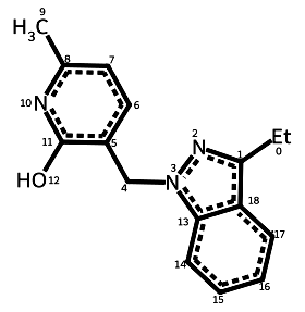 CCc1nn(Cc2ccc(C)nc2O)c2ccc[c]c12